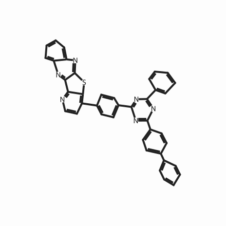 c1ccc(-c2ccc(-c3nc(-c4ccccc4)nc(-c4ccc(-c5ccnc6c5sc5nc7ccccc7nc56)cc4)n3)cc2)cc1